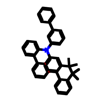 CC1(C)c2ccccc2-c2ccc(N(c3cccc(-c4ccccc4)c3)c3ccccc3-c3ccccc3)cc2C1(C)C